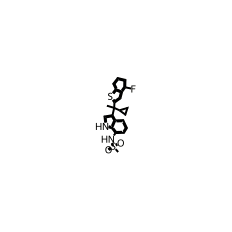 CC(c1cc2c(F)cccc2s1)(c1c[nH]c2c(NS(C)(=O)=O)cccc12)C1CC1